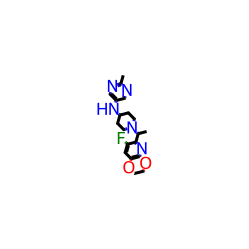 Cc1ncc(NC2CCN(C(C)c3nc4c(cc3F)OCCO4)CC2)cn1